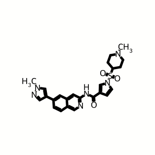 CN1CCC(S(=O)(=O)n2ccc(C(=O)Nc3cc4cc(-c5cnn(C)c5)ccc4cn3)c2)CC1